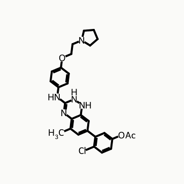 CC(=O)Oc1ccc(Cl)c(-c2cc(C)c3c(c2)NNC(Nc2ccc(OCCN4CCCC4)cc2)=N3)c1